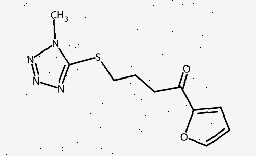 Cn1nnnc1SCCCC(=O)c1ccco1